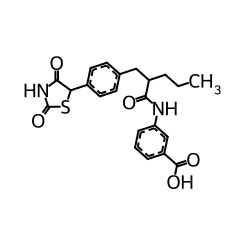 CCCC(Cc1ccc(C2SC(=O)NC2=O)cc1)C(=O)Nc1cccc(C(=O)O)c1